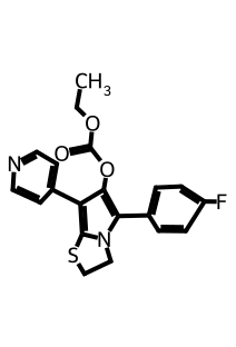 CCOC(=O)Oc1c(-c2ccncc2)c2n(c1-c1ccc(F)cc1)CCS2